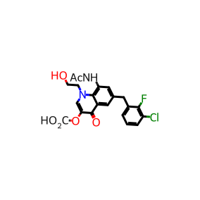 CC(=O)Nc1cc(Cc2cccc(Cl)c2F)cc2c(=O)c(OC(=O)O)cn(CCO)c12